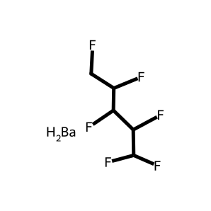 FCC(F)C(F)C(F)C(F)F.[BaH2]